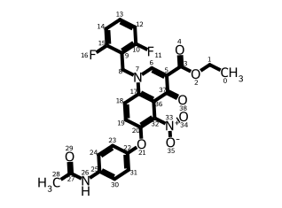 CCOC(=O)c1cn(Cc2c(F)cccc2F)c2ccc(Oc3ccc(NC(C)=O)cc3)c([N+](=O)[O-])c2c1=O